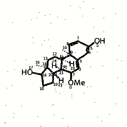 COC1C=C2C=C(O)C=C[C@]2(C)[C@@H]2CC[C@]3(C)C(O)CC[C@H]3[C@H]12